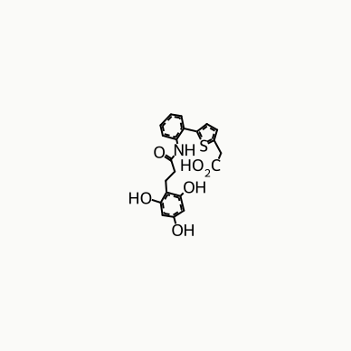 O=C(O)Cc1ccc(-c2ccccc2NC(=O)CCc2c(O)cc(O)cc2O)s1